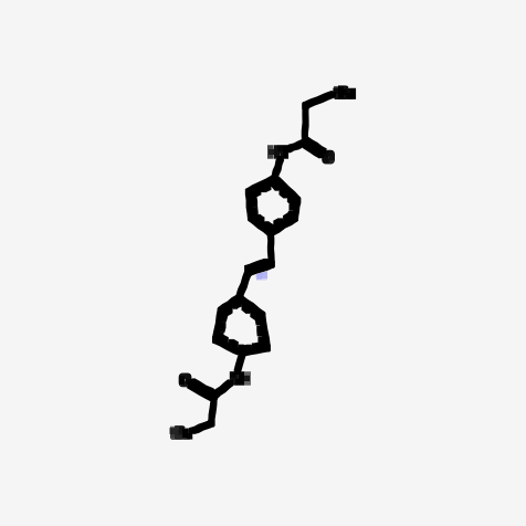 CC(C)(C)CC(=O)Nc1ccc(/C=C/c2ccc(NC(=O)CC(C)(C)C)cc2)cc1